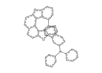 c1ccc(N(c2ccccc2)c2ccc3cc(-c4cccc5oc6ccc7ccc8oc9ccccc9c8c7c6c45)ccc3c2)cc1